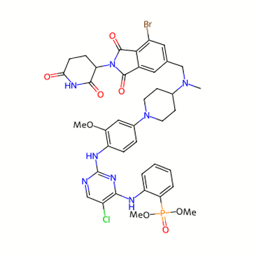 COc1cc(N2CCC(N(C)Cc3cc(Br)c4c(c3)C(=O)N(C3CCC(=O)NC3=O)C4=O)CC2)ccc1Nc1ncc(Cl)c(Nc2ccccc2P(=O)(OC)OC)n1